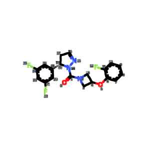 O=C(N1CC(Oc2ccccc2F)C1)N1N=CC[C@H]1c1cc(F)cc(F)c1